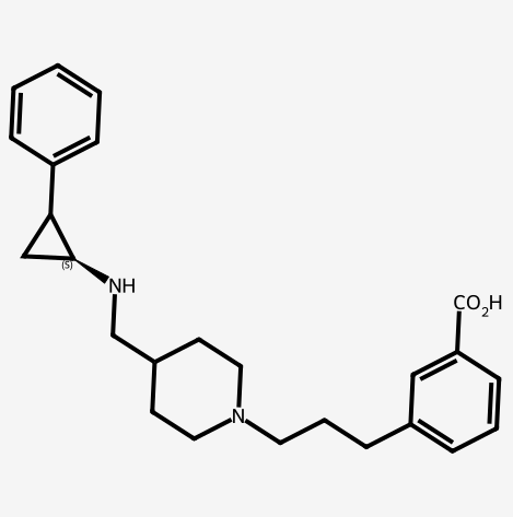 O=C(O)c1cccc(CCCN2CCC(CN[C@H]3CC3c3ccccc3)CC2)c1